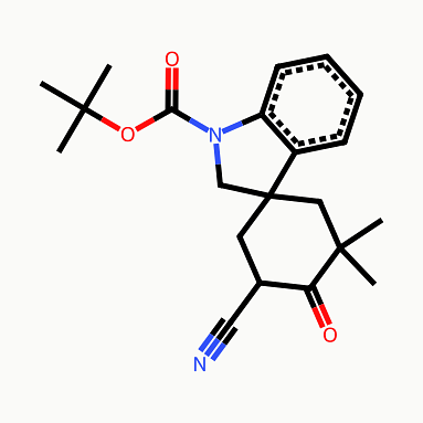 CC(C)(C)OC(=O)N1CC2(CC(C#N)C(=O)C(C)(C)C2)c2ccccc21